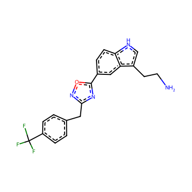 NCCc1c[nH]c2ccc(-c3nc(Cc4ccc(C(F)(F)F)cc4)no3)cc12